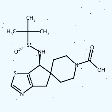 CC(C)(C)[S@@+]([O-])N[C@@H]1c2scnc2CC12CCN(C(=O)O)CC2